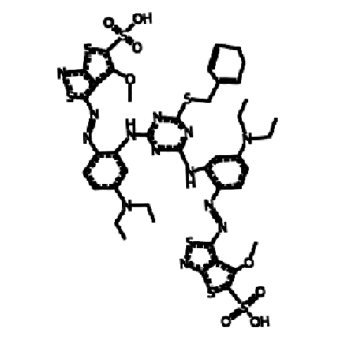 CCN(CC)c1ccc(/N=N/c2snc3sc(S(=O)(=O)O)c(OC)c23)c(Nc2nc(Nc3cc(N(CC)CC)ccc3/N=N/c3snc4sc(S(=O)(=O)O)c(OC)c34)nc(SCC3=CCCC=C3)n2)c1